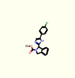 CC(C)(C)OC(=O)N1Cc2ccccc2C1c1ncc(-c2ccc(Br)cc2)[nH]1